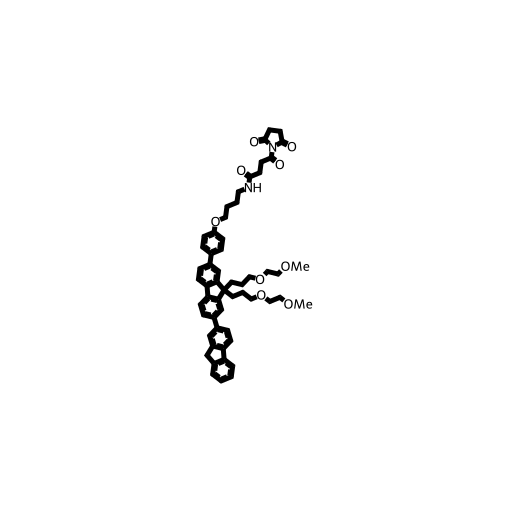 COCCOCCCC1(CCCOCCOC)c2cc(-c3ccc(OCCCCNC(=O)CCC(=O)N4C(=O)CCC4=O)cc3)ccc2-c2ccc(-c3ccc4c(c3)Cc3ccccc3-4)cc21